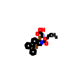 C=CCOC(=O)N1CC(SC(c2ccccc2)(c2ccccc2)c2ccccc2)CC1S/C=C\C(=O)O